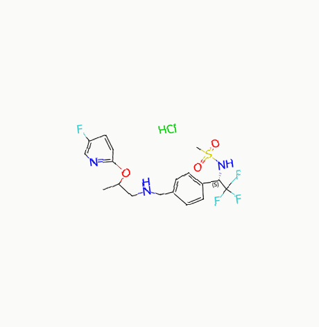 CC(CNCc1ccc([C@H](NS(C)(=O)=O)C(F)(F)F)cc1)Oc1ccc(F)cn1.Cl